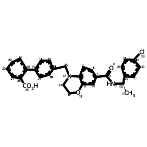 C[C@H](NC(=O)c1ccc2c(c1)OCCN2Cc1ccc(-c2ccccc2C(=O)O)cc1)c1ccc(Cl)cc1